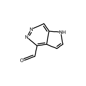 O=Cc1nncc2[nH]ccc12